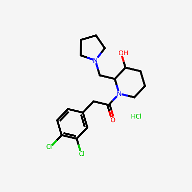 Cl.O=C(Cc1ccc(Cl)c(Cl)c1)N1CCCC(O)C1CN1CCCC1